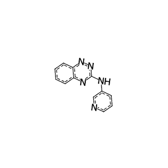 c1cncc(Nc2nnc3ccccc3n2)c1